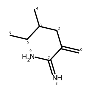 C=C(CC(C)CC)C(=N)N